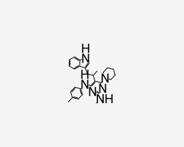 CNc1nc(Nc2ccc(C)cc2)c(C(C)Cc2c[nH]c3ccccc23)c(N2CCCCC2)n1